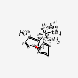 C[C](C)(C)[Ti]([CH3])([CH3])(=[SiH2])([C]1=CC=CC1)([c]1ccc[nH]1)[C](C)(C)C.Cl.Cl